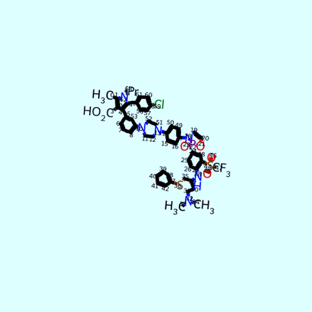 Cc1c(C(=O)O)c(-c2cccc(N3CCN(c4ccc(N5C=CO[P@]5(=O)c5ccc(NC(CCN(C)C)CSc6ccccc6)c(S(=O)(=O)C(F)(F)F)c5)cc4)CC3)c2)c(-c2ccc(Cl)cc2)n1C(C)C